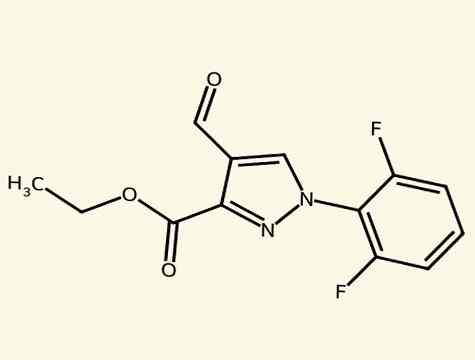 CCOC(=O)c1nn(-c2c(F)cccc2F)cc1C=O